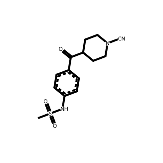 CS(=O)(=O)Nc1ccc(C(=O)C2CCN(C#N)CC2)cc1